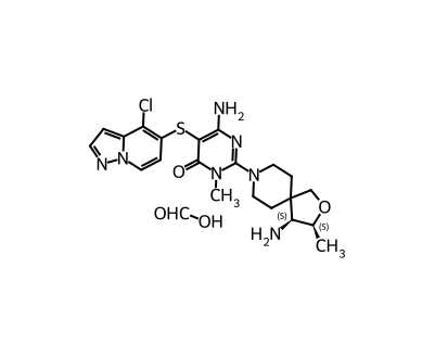 C[C@@H]1OCC2(CCN(c3nc(N)c(Sc4ccn5nccc5c4Cl)c(=O)n3C)CC2)[C@@H]1N.O=CO